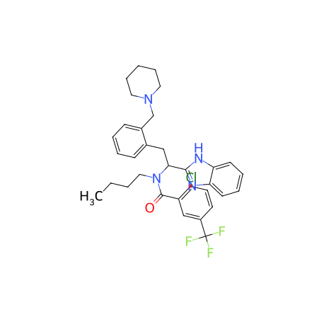 CCCCN(C(=O)c1cc(C(F)(F)F)ccc1Cl)C(Cc1ccccc1CN1CCCCC1)c1nc2ccccc2[nH]1